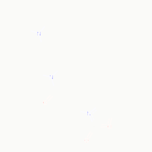 O=C(CCn1c(=O)oc2ccccc21)N1CCC(N2CCCC2)CC1